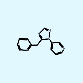 c1ccc(Cc2ncnn2-c2cccnc2)cc1